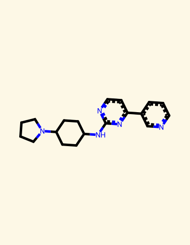 c1cncc(-c2ccnc(NC3CCC(N4CCCC4)CC3)n2)c1